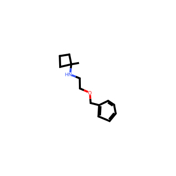 CC1(NCCOCc2ccccc2)CCC1